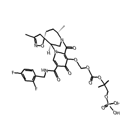 CC1=NO[C@@]2(CC[C@H](C)N3C[C@H]2n2cc(C(=O)NCc4ccc(F)cc4F)c(=O)c(OCOC(=O)OC(C)(C)COP(=O)(O)O)c2C3=O)C1